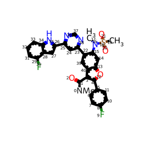 CNC(=O)c1c(-c2ccc(F)cc2)oc2cc(N(C)S(C)(=O)=O)c(-c3cc(-c4cc5c(F)cccc5[nH]4)ncn3)cc12